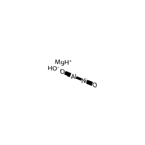 [MgH+].[OH-].[O]=[Al][Ni]=[O]